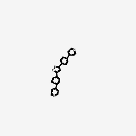 c1cc(-c2ccc(-c3cc(-c4ccc(-c5ccncc5)cc4)on3)cc2)ccn1